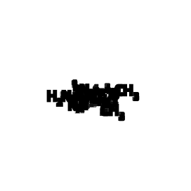 COC[C@H]1CC(n2nc(I)c3c(N)ncnc32)CN1C(C)=O